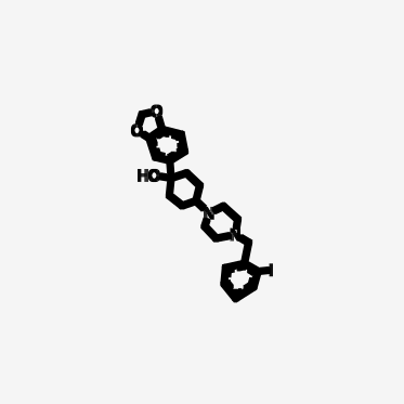 OC1(c2ccc3c(c2)OCO3)CCC(N2CCN(Cc3ccccc3I)CC2)CC1